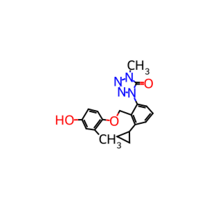 Cc1cc(O)ccc1OCc1c(C2CC2)cccc1-n1nnn(C)c1=O